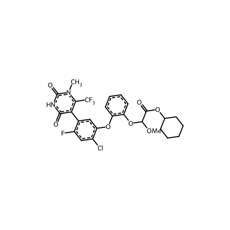 COC(Oc1ccccc1Oc1cc(-c2c(C(F)(F)F)n(C)c(=O)[nH]c2=O)c(F)cc1Cl)C(=O)OC1CCCCC1